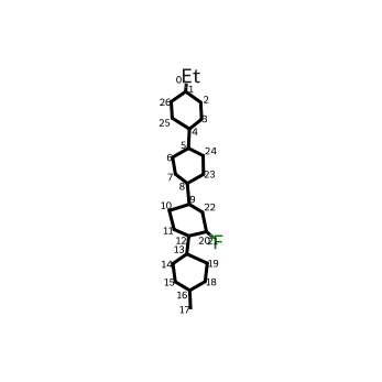 CCC1CCC(C2CCC(C3CCC(C4CCC(C)CC4)C(F)C3)CC2)CC1